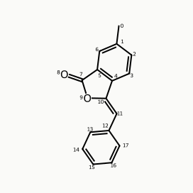 Cc1ccc2c(c1)C(=O)OC2=Cc1ccccc1